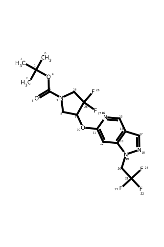 CC(C)(C)OC(=O)N1CC(Oc2cc3c(cn2)cnn3CC(F)(F)F)C(F)(F)C1